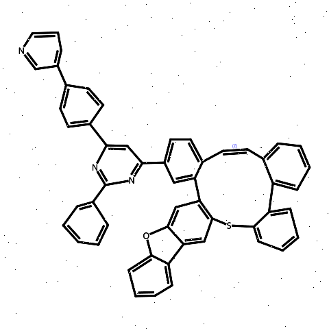 C1=C\c2ccc(-c3cc(-c4ccc(-c5cccnc5)cc4)nc(-c4ccccc4)n3)cc2-c2cc3oc4ccccc4c3cc2Sc2ccccc2-c2ccccc2/1